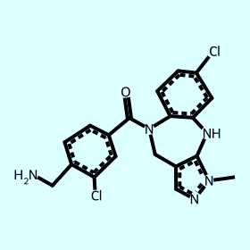 Cn1ncc2c1Nc1cc(Cl)ccc1N(C(=O)c1ccc(CN)c(Cl)c1)C2